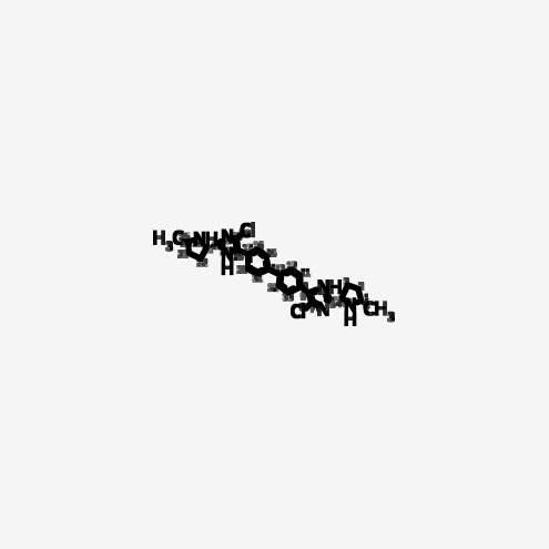 C[C@H]1CC[C@@H](c2nc(Cl)c(-c3ccc(-c4ccc(-c5[nH]c([C@@H]6CC[C@H](C)N6)nc5Cl)cc4)cc3)[nH]2)N1